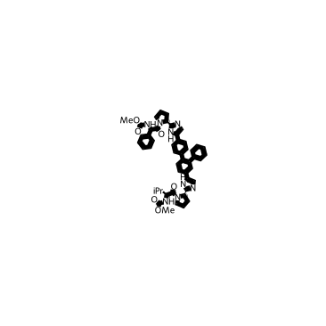 COC(=O)NC(C(=O)N1CCC[C@H]1c1ncc(-c2ccc(-c3ccc(-c4cnc([C@@H]5CCCN5C(=O)[C@@H](NC(=O)OC)C(C)C)[nH]4)cc3-c3ccccc3)cc2)[nH]1)c1ccccc1